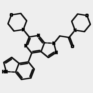 O=C(Cn1ncc2c(-c3cccc4[nH]ccc34)nc(N3CCOCC3)nc21)N1CCOCC1